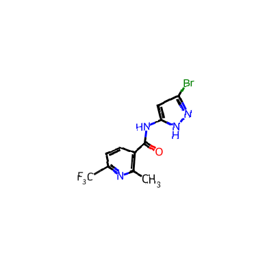 Cc1nc(C(F)(F)F)ccc1C(=O)Nc1cc(Br)n[nH]1